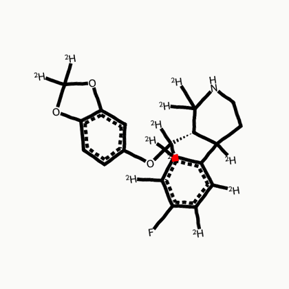 [2H]c1c([2H])c(C2([2H])CCNC([2H])([2H])[C@H]2C([2H])([2H])Oc2ccc3c(c2)OC([2H])([2H])O3)c([2H])c([2H])c1F